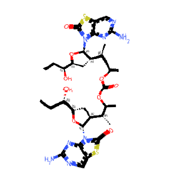 CC[C@H](O)[C@@H]1C[C@@H]([C@@H](C)C(C)OC(=O)OC(C)[C@H](C)[C@@H]2C[C@@H]([C@@H](O)CC)O[C@H]2n2c(=O)sc3cnc(N)nc32)[C@H](n2c(=O)sc3cnc(N)nc32)O1